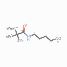 CCCCCC(CCC)(CCC)C(=O)NCCCCN=O